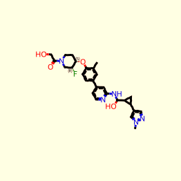 Cc1cc(-c2ccnc(NC(O)C3CC3c3cnn(C)c3)c2)ccc1O[C@H]1CCN(C(=O)CO)C[C@H]1F